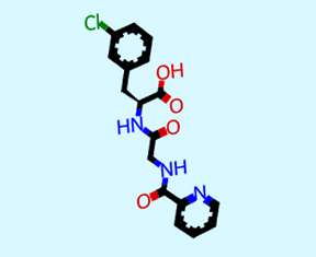 O=C(CNC(=O)c1ccccn1)N[C@@H](Cc1cccc(Cl)c1)C(=O)O